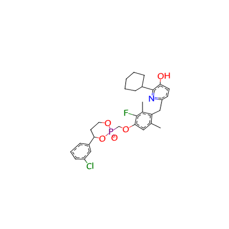 Cc1cc(OCP2(=O)OCCC(c3cccc(Cl)c3)O2)c(F)c(C)c1Cc1ccc(O)c(C2CCCCC2)n1